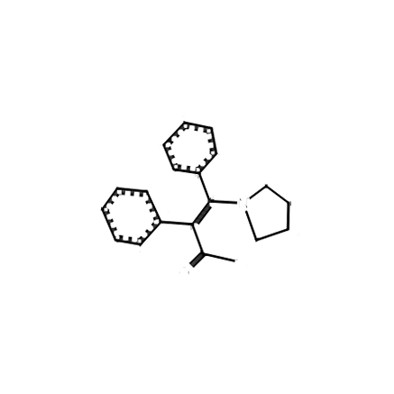 O=C(I)/C(=C(/c1ccccc1)N1CCCC1)c1ccccc1